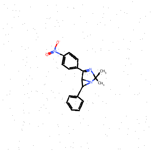 CC1(C)N=C(c2ccc([N+](=O)[O-])cc2)C2C(c3ccccc3)N21